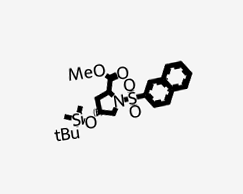 COC(=O)C1C[C@@H](O[Si](C)(C)C(C)(C)C)CN1S(=O)(=O)c1ccc2ccccc2c1